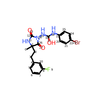 CC1(CCc2cccc(F)c2)NC(=O)N(NC(O)Nc2ccc(Br)cc2)C1=O